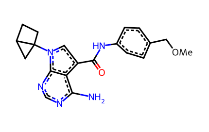 COCc1ccc(NC(=O)c2cn(C34CCC3C4)c3ncnc(N)c23)cc1